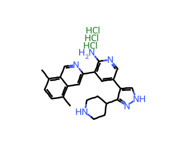 Cc1ccc(C)c2cc(-c3cc(-c4c[nH]nc4C4CCNCC4)cnc3N)ncc12.Cl.Cl.Cl